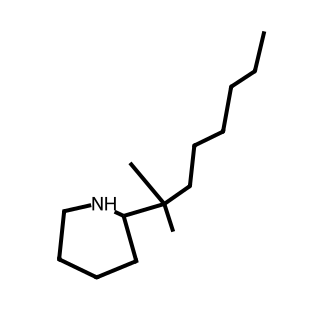 CCCCCCC(C)(C)C1CCCCN1